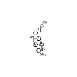 COc1ccc(C23CCC(CN(C(=O)C4CCC(OC(=O)N5CC(O)C5)CC4)c4cc(-n5ccc(C(C)(C)C)n5)ccn4)(CC2)CC3)cc1C